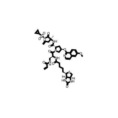 C=CC[C@](C)(NC(=O)[C@@H]1C[C@@H](Oc2nccc3cc(OC)ccc23)CN1C(=O)[C@H](CNC(=O)C=C)NC(=O)CCCC[C@H]1SC[C@H]2NC(=O)N[C@H]21)C(=O)NS(=O)(=O)C1CC1